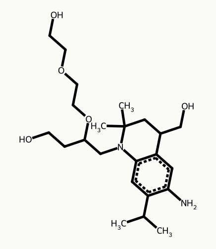 CC(C)c1cc2c(cc1N)C(CO)CC(C)(C)N2CC(CCO)OCCOCCO